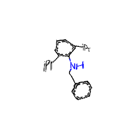 CC(C)c1cccc(C(C)C)c1NCc1ccccc1